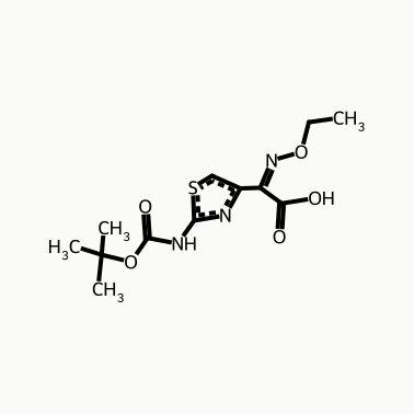 CCON=C(C(=O)O)c1csc(NC(=O)OC(C)(C)C)n1